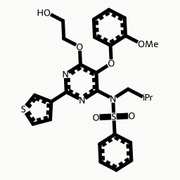 COc1ccccc1Oc1c(OCCO)nc(-c2ccsc2)nc1N(CC(C)C)S(=O)(=O)c1ccccc1